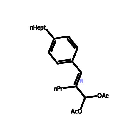 CCCCCCCc1ccc(/C=C(\CCC)C(OC(C)=O)OC(C)=O)cc1